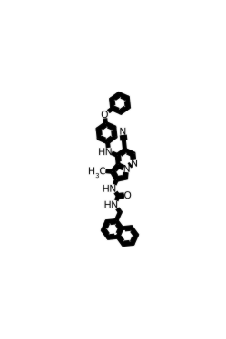 Cc1c(NC(=O)NCc2cccc3ccccc23)cn2ncc(C#N)c(Nc3ccc(Oc4ccccc4)cc3)c12